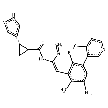 C=N/C(=C\c1c(C)c(N)nc(-c2cnccc2C)c1F)NC(=O)[C@H]1C[C@@H]1c1cn[nH]c1